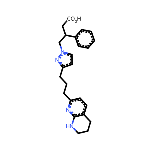 O=C(O)CC(Cn1ccc(CCCc2ccc3c(n2)NCCC3)n1)c1ccccc1